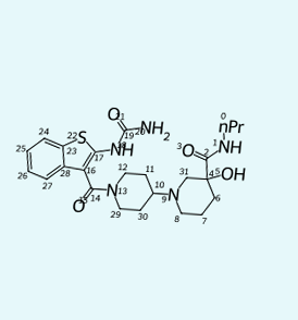 CCCNC(=O)C1(O)CCCN(C2CCN(C(=O)c3c(NC(N)=O)sc4ccccc34)CC2)C1